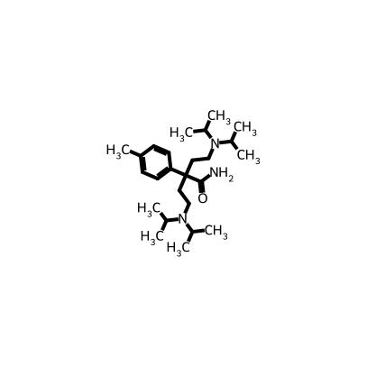 Cc1ccc(C(CCN(C(C)C)C(C)C)(CCN(C(C)C)C(C)C)C(N)=O)cc1